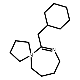 C1CCC(CC2=NCCCC[N+]23CCCC3)CC1